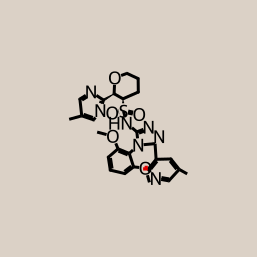 COc1cccc(OC)c1-n1c(NS(=O)(=O)[C@H]2CCCO[C@@H]2c2ncc(C)cn2)nnc1-c1cncc(C)c1